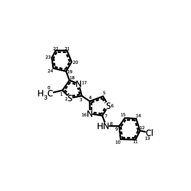 Cc1sc(-c2csc(Nc3ccc(Cl)cc3)n2)nc1-c1ccccc1